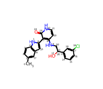 Cc1ccc2[nH]c(-c3c(NC[C@H](O)c4cccc(Cl)c4)cc[nH]c3=O)cc2c1